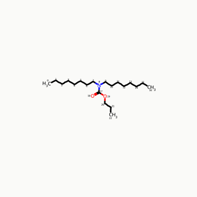 CCCCCCCCN(CCCCCCCC)C(=O)OCCC